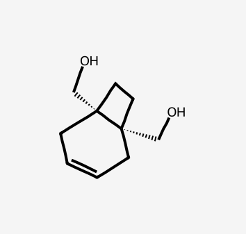 OC[C@@]12CC=CC[C@]1(CO)CC2